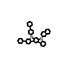 c1ccc(-c2ccc(-n3c4cc(-c5ccccc5)ccc4c4cc5c6ccccc6n(-c6ccc7ccccc7c6)c5cc43)cc2)cc1